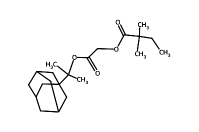 CCC(C)(C)C(=O)OCC(=O)OC(C)(C)C12CC3CC(CC(C3)C1)C2